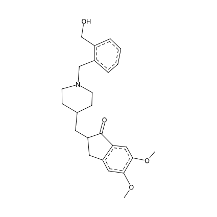 COc1cc2c(cc1OC)C(=O)C(CC1CCN(Cc3ccccc3CO)CC1)C2